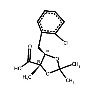 CC1(C)O[C@H](Cc2ccccc2Cl)[C@@](C)(C(=O)O)O1